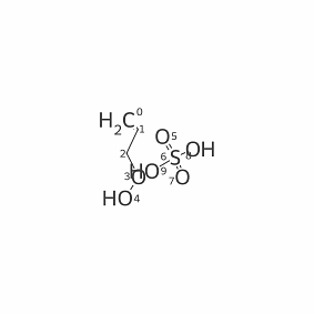 C=CCOO.O=S(=O)(O)O